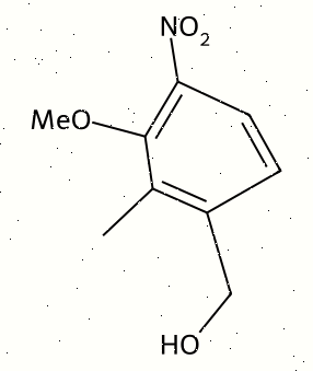 COc1c([N+](=O)[O-])ccc(CO)c1C